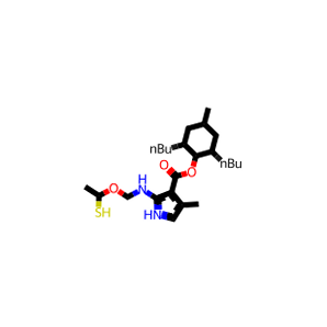 CCCCC1CC(C)CC(CCCC)C1OC(=O)c1c(C)c[nH]c1NCOC(C)S